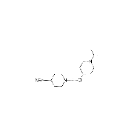 CC(C)N1CCC(OC(C)(C)N2CCC(C#N)CC2)CC1